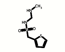 CNCNS(=O)(=O)Cc1cccs1